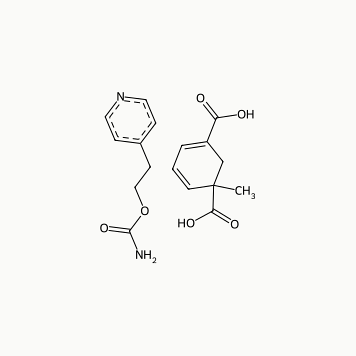 CC1(C(=O)O)C=CC=C(C(=O)O)C1.NC(=O)OCCc1ccncc1